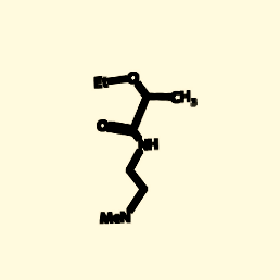 CCOC(C)C(=O)NCCNC